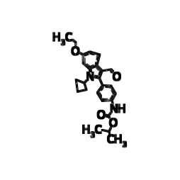 CCOc1ccc2c(C=O)c(-c3ccc(NC(=O)OC(C)C)cc3)n(C3CCC3)c2c1